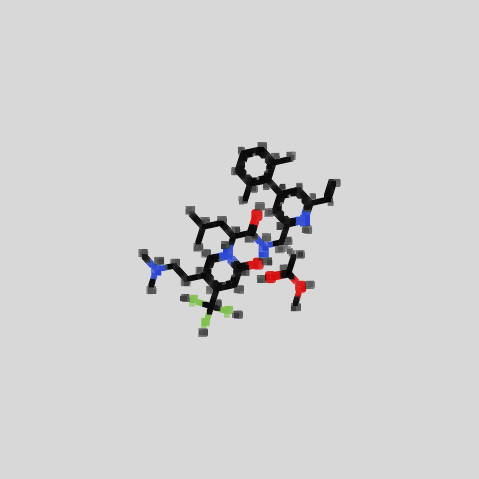 C=Cc1cc(-c2c(C)cccc2C)cc([C@H](CC(=O)OC)NC(=O)C(CC(C)C)n2cc(CCN(C)C)c(C(F)(F)F)cc2=O)n1